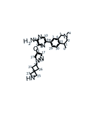 CC1CN(C)Cc2cc(-c3cnc(N)c(Oc4cnn(C5CC6(CNC6)C5)c4)n3)ccc21